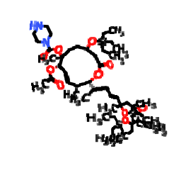 CCC(O[Si](CC)(CC)CC)C(C)[C@H]1O[C@@H]1CC(C)(/C=C/C=C(\C)[C@H]1OC(=O)C[C@H](O[Si](CC)(CC)CC)CC[C@@](C)(OC(=O)N2CCNCC2)[C@@H](OC(C)=O)/C=C/[C@@H]1C)O[Si](CC)(CC)CC